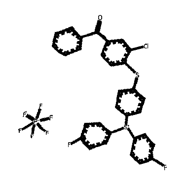 F[P-](F)(F)(F)(F)F.O=C(c1ccccc1)c1ccc(Sc2ccc([S+](c3ccc(F)cc3)c3ccc(F)cc3)cc2)c(Cl)c1